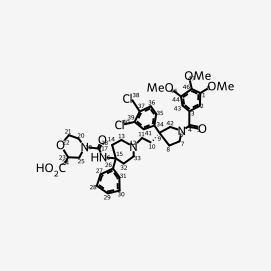 COc1cc(C(=O)N2CC[C@@](CCN3CCC(NC(=O)N4CCOC(C(=O)O)C4)(c4ccccc4)CC3)(c3ccc(Cl)c(Cl)c3)C2)cc(OC)c1OC